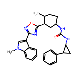 CC1CCC(NC(=O)NC2CC2c2ccccc2)C[C@H]1c1nc(-c2cn(C)c3ccccc23)no1